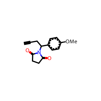 C#CCC(c1ccc(OC)cc1)N1C(=O)CCC1=O